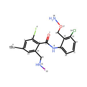 CC(C)(C)c1cc(F)c(C(=O)Nc2cccc(Cl)c2CON)c(CNI)c1